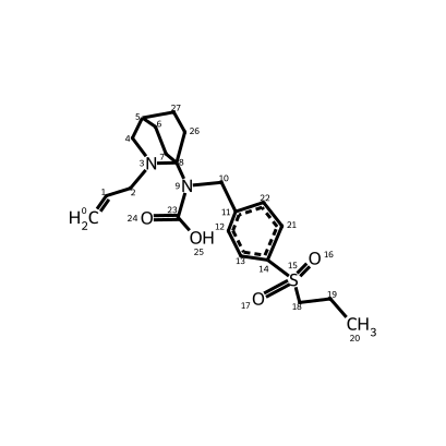 C=CCN1CC2CCC1(N(Cc1ccc(S(=O)(=O)CCC)cc1)C(=O)O)CC2